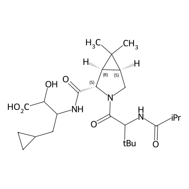 CC(C)C(=O)NC(C(=O)N1C[C@H]2[C@@H]([C@H]1C(=O)NC(CC1CC1)C(O)C(=O)O)C2(C)C)C(C)(C)C